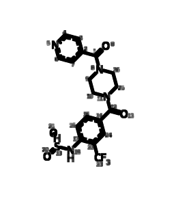 O=C(c1ccncc1)N1CCN(C(=O)c2ccc(N[SH](=O)=O)c(C(F)(F)F)c2)CC1